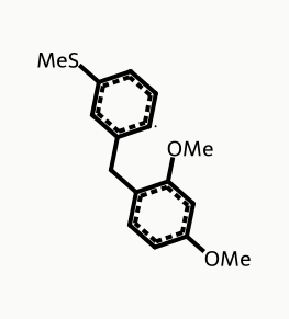 COc1ccc(Cc2[c]ccc(SC)c2)c(OC)c1